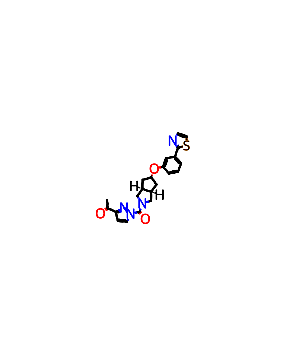 CC(=O)c1ccn(C(=O)N2C[C@H]3C[C@H](Oc4cccc(-c5nccs5)c4)C[C@H]3C2)n1